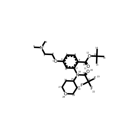 CN(C)CCOc1ccc(C(=O)OC(C)(C)C)c(N(C(=O)C(F)(F)F)C2CCOCC2)c1